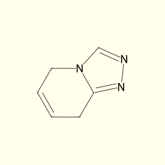 C1=CCn2cnnc2C1